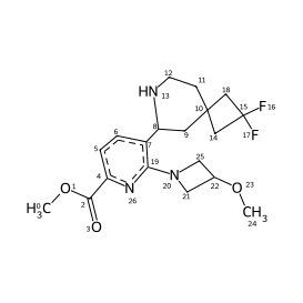 COC(=O)c1ccc(C2CC3(CCN2)CC(F)(F)C3)c(N2CC(OC)C2)n1